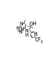 Cc1cc(N[C@@H](c2ccc(C(F)(F)F)nc2)C(C)(C)O)n2ncnc2n1